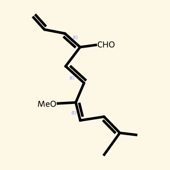 C=C\C=C(C=O)/C=C/C(=C\C=C(C)C)OC